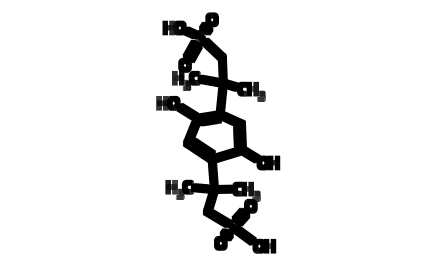 CC(C)(CS(=O)(=O)O)c1cc(O)c(C(C)(C)CS(=O)(=O)O)cc1O